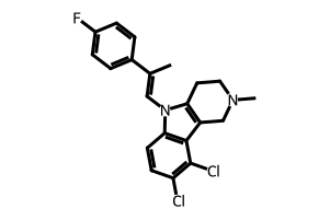 C/C(=C\n1c2c(c3c(Cl)c(Cl)ccc31)CN(C)CC2)c1ccc(F)cc1